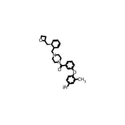 Cc1cc(C(C)C)ccc1Oc1cccc(C(=O)N2CCN(CC3C=CC=C[C@@H]3CC3CCO3)CC2)c1